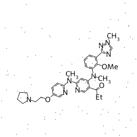 CCC(=O)c1cnc(N(C)c2ccc(OCCN3CCCC3)cn2)cc1N(C)c1cccc(-c2ncn(C)n2)c1OC